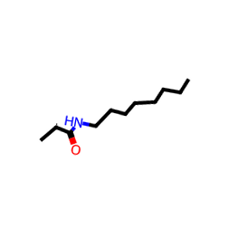 C[CH]C(=O)NCCCCCCCC